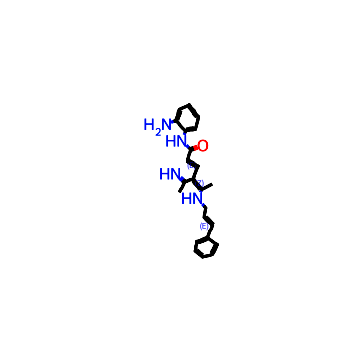 CC(=N)C(/C=C/C(=O)Nc1ccccc1N)=C(/C)NC/C=C/c1ccccc1